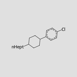 CCCCCCCC1CCC(c2ccc(Cl)cc2)CC1